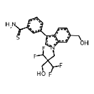 NC(=S)c1cccc(-c2cn(CC(CO)(C(F)F)C(F)F)c3cc(CO)ccc23)c1